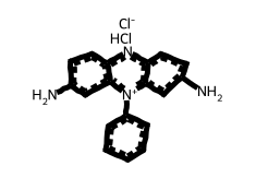 Cl.Nc1ccc2nc3ccc(N)cc3[n+](-c3ccccc3)c2c1.[Cl-]